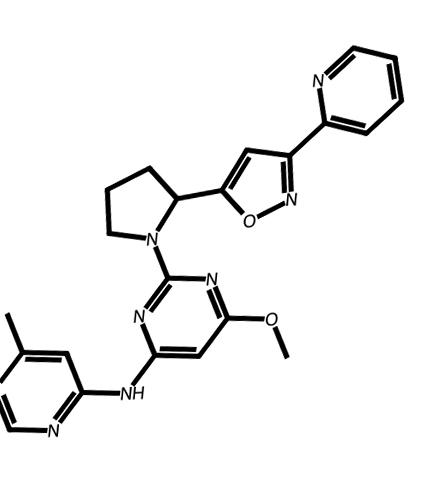 COc1cc(Nc2cc(C)ncn2)nc(N2CCCC2c2cc(-c3ccccn3)no2)n1